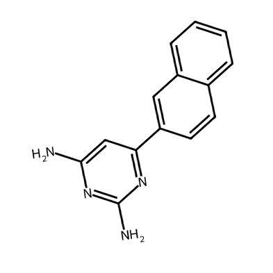 Nc1cc(-c2ccc3ccccc3c2)nc(N)n1